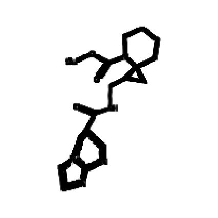 CC(C)(C)OC(=O)N1CCCCC12CC2CNC(=O)c1cnc2nccn2c1